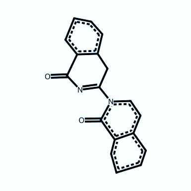 O=C1N=C(n2ccc3ccccc3c2=O)Cc2ccccc21